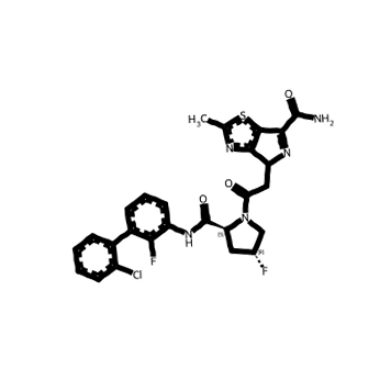 Cc1nc2c(s1)C(C(N)=O)=NC2CC(=O)N1C[C@H](F)C[C@H]1C(=O)Nc1cccc(-c2ccccc2Cl)c1F